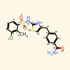 Cc1c(Cl)cccc1S(=O)(=O)Nc1nc(Cc2ccc(C(N)=O)cc2)cs1